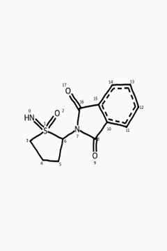 N=S1(=O)CCCC1N1C(=O)c2ccccc2C1=O